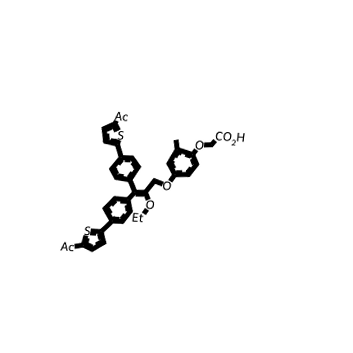 CCOC(COc1ccc(OCC(=O)O)c(C)c1)=C(c1ccc(-c2ccc(C(C)=O)s2)cc1)c1ccc(-c2ccc(C(C)=O)s2)cc1